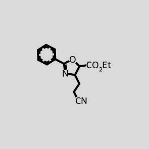 CCOC(=O)C1OC(c2ccccc2)=NC1CCC#N